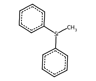 C[Si](c1ccccc1)c1ccccc1